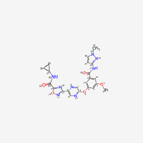 CC(C)Oc1cc(Oc2cnc(-c3noc(C(=O)NC4CC4)n3)cn2)cc(C(=O)Nc2ccn(C)n2)c1